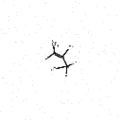 CCC(F)(F)C(F)=C(F)C(F)(F)F